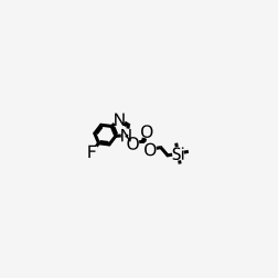 C[Si](C)(C)CCOC(=O)On1cnc2ccc(F)cc21